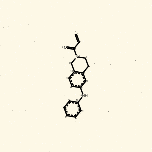 C=CC(=O)N1CCc2cc(Nc3ccccc3)ccc2C1